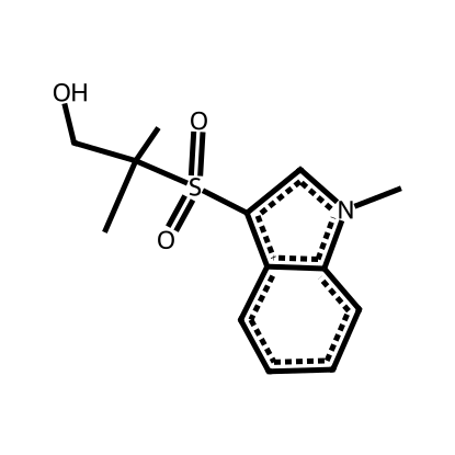 Cn1cc(S(=O)(=O)C(C)(C)CO)c2ccccc21